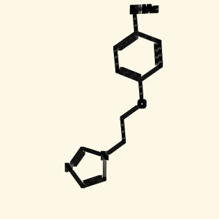 CC(=O)Nc1ccc(OCCn2ccnc2)cc1